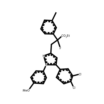 CCOC(=O)C(F)(Cc1cc(-c2ccc(Cl)c(Cl)c2)n(-c2ccc(OC)cc2)n1)c1cccc(C)c1